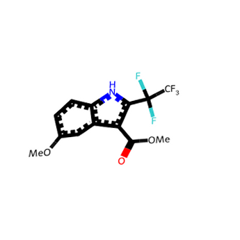 COC(=O)c1c(C(F)(F)C(F)(F)F)[nH]c2ccc(OC)cc12